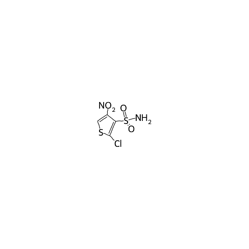 NS(=O)(=O)c1c([N+](=O)[O-])csc1Cl